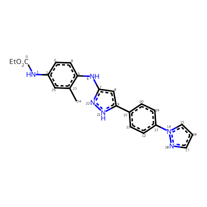 CCOC(=O)Nc1ccc(Nc2cc(-c3ccc(-n4cccn4)cc3)[nH]n2)c(C)c1